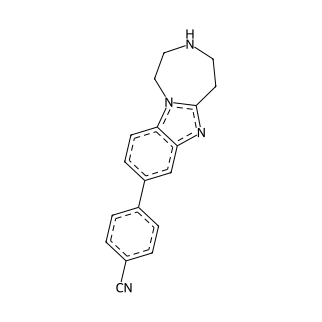 N#Cc1ccc(-c2ccc3c(c2)nc2n3CCNCC2)cc1